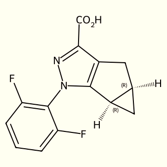 O=C(O)c1nn(-c2c(F)cccc2F)c2c1C[C@H]1C[C@@H]21